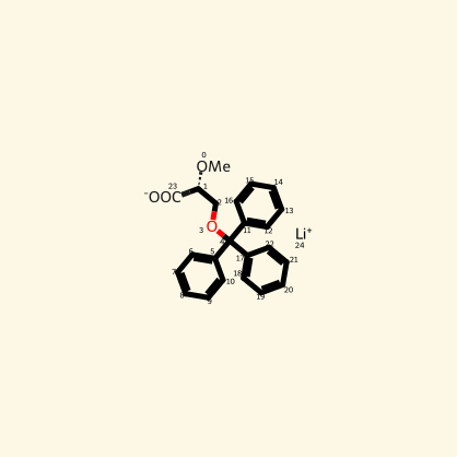 CO[C@H](COC(c1ccccc1)(c1ccccc1)c1ccccc1)C(=O)[O-].[Li+]